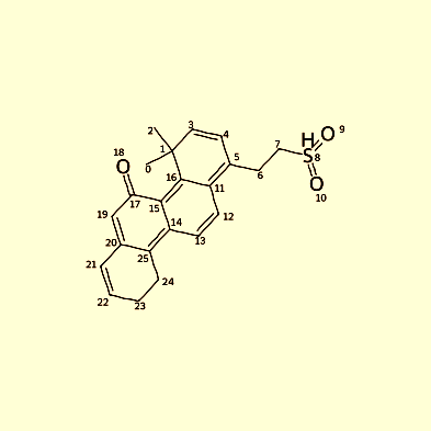 CC1(C)C=CC(CC[SH](=O)=O)=c2ccc3c(c21)C(=O)C=C1C=CCCC=31